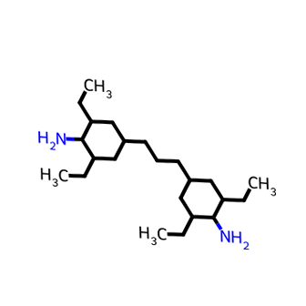 CCC1CC(CCCC2CC(CC)C(N)C(CC)C2)CC(CC)C1N